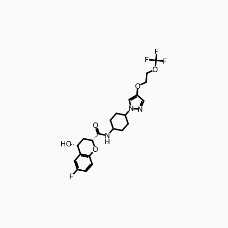 O=C(NC1CCC(n2cc(OCCOC(F)(F)F)cn2)CC1)[C@H]1C[C@@H](O)c2cc(F)ccc2O1